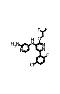 Nc1cc(Nc2cc(-c3cc(Cl)ccc3F)nnc2OCC(F)F)ccn1